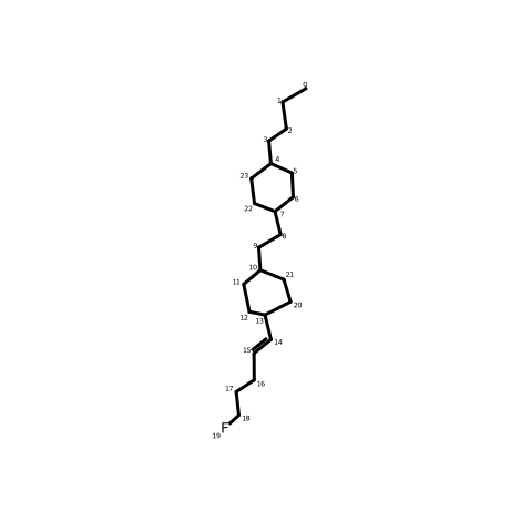 CCCCC1CCC(CCC2CCC(C=CCCCF)CC2)CC1